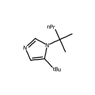 CCCC(C)(C)n1cncc1C(C)(C)C